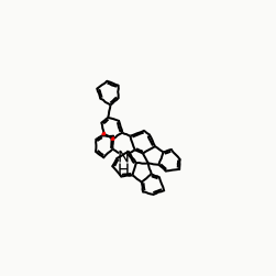 CC1CC=C(c2ccccc2)C=C1c1ccc2c(c1Nc1ccccc1)C1(c3ccccc3-c3ccccc31)c1ccccc1-2